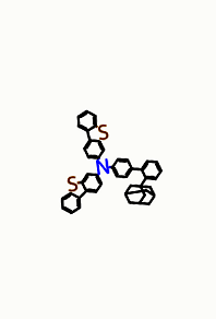 c1ccc(C23CC4CC(CC(C4)C2)C3)c(-c2ccc(N(c3ccc4c(c3)sc3ccccc34)c3ccc4c(c3)sc3ccccc34)cc2)c1